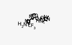 Cc1ncc([C@@H](C)NC(=O)N2CC[C@]3(C2)OCCn2nc(-c4cnc(N)c(C(F)(F)F)c4)cc23)cn1